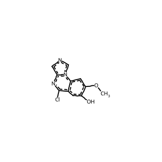 COc1cc2c(cc1O)c(Cl)nc1cncn12